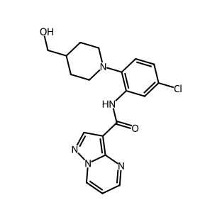 O=C(Nc1cc(Cl)ccc1N1CCC(CO)CC1)c1cnn2cccnc12